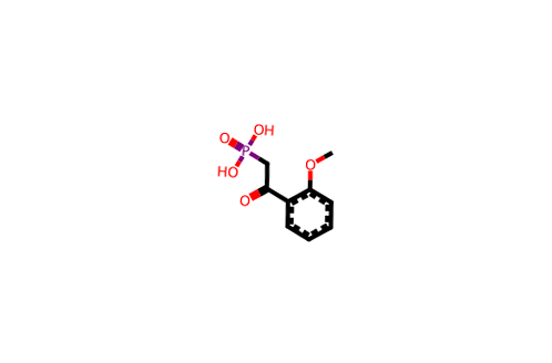 COc1ccccc1C(=O)CP(=O)(O)O